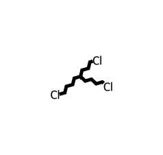 ClCCCC[C](CCCCl)CCCCCl